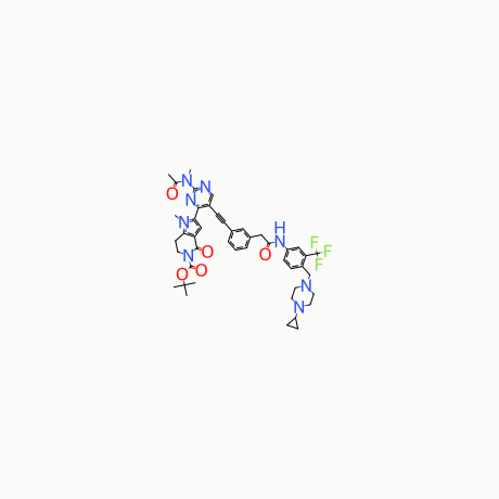 CC(=O)N(C)c1ncc(C#Cc2cccc(CC(=O)Nc3ccc(CN4CCN(C5CC5)CC4)c(C(F)(F)F)c3)c2)c(-c2cc3c(n2C)CCN(C(=O)OC(C)(C)C)C3=O)n1